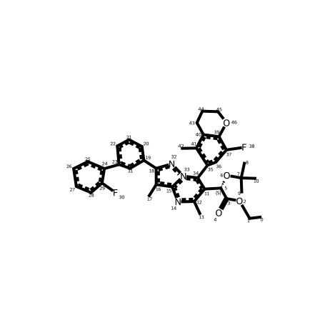 CCOC(=O)[C@@H](OC(C)(C)C)c1c(C)nc2c(C)c(-c3cccc(-c4ccccc4F)c3)nn2c1-c1cc(F)c2c(c1C)CCCO2